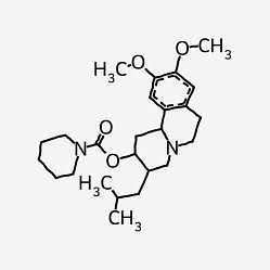 COc1cc2c(cc1OC)C1CC(OC(=O)N3CCCCC3)C(CC(C)C)CN1CC2